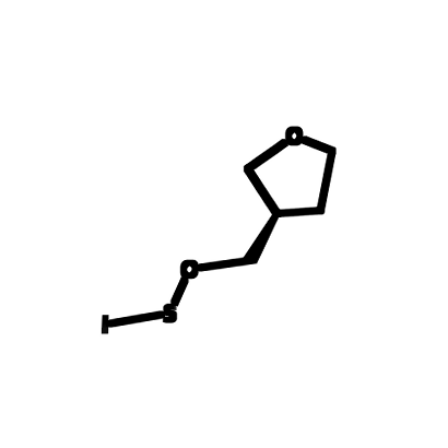 ISOC[C@@H]1CCOC1